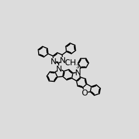 CN1C(n2c3ccccc3c3cc4c5cc6oc7ccccc7c6cc5n(-c5ccccc5)c4cc32)=NC(c2ccccc2)=CC1c1ccccc1